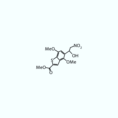 COC(=O)c1cc2c(OC)c(C(O)C[N+](=O)[O-])cc(OC)c2s1